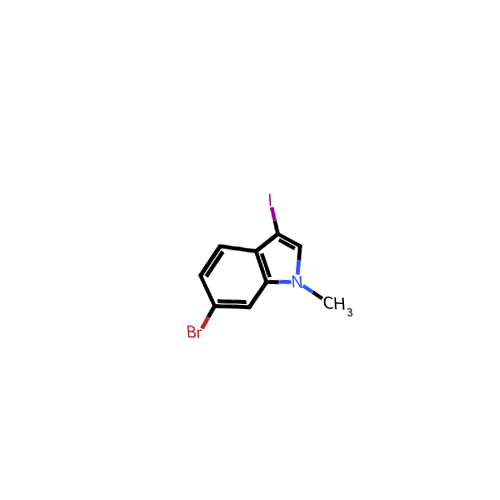 Cn1cc(I)c2ccc(Br)cc21